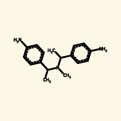 CC(c1ccc(N)cc1)N(C)C(C)c1ccc(N)cc1